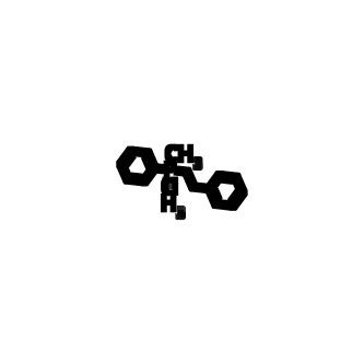 C[PH](C)(CCc1ccccc1)c1ccccc1